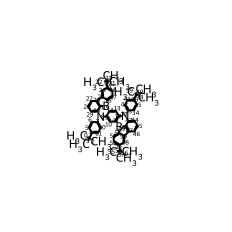 CC(C)(C)c1ccc(N2c3cc4c(cc3B3c5ccc(C(C)(C)C)cc5-c5cccc2c53)N(c2ccc(C(C)(C)C)cc2)c2cccc3c2B4c2ccc(C(C)(C)C)cc2-3)cc1